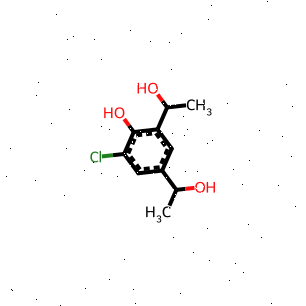 CC(O)c1cc(Cl)c(O)c(C(C)O)c1